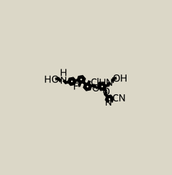 Cc1c(COc2cc(OCc3cncc(C#N)c3)c(CNCCO)cc2Cl)cccc1-c1cccc(-c2ccc(CNCCO)cc2)c1CF